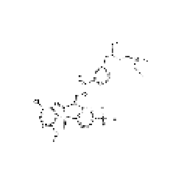 CCN(CC)CCN(CC)Cc1cccc(C(=O)OCN2C(=O)[C@@](F)(c3cc(Cl)ccc3OC)c3ccc(C(F)(F)F)cc32)c1